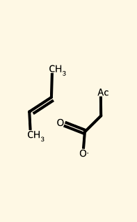 CC(=O)CC([O])=O.CC=CC